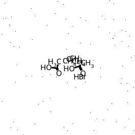 Br.C.C.C.C.CC(=O)O.CC(=O)O